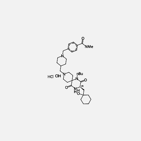 CCCCN1C(=O)[C@@H](CC2(O)CCCCC2)NC(=O)C12CCN(CC1CCN(Cc3ccc(C(=O)NC)cc3)CC1)CC2.Cl.Cl